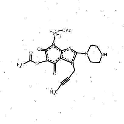 CC#CCn1c(N2CCNCC2)nc2c1c(=O)n(OC(=O)C(F)(F)F)c(=O)n2C.COC(C)=O